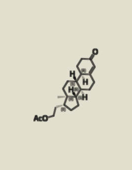 CC(=O)OCC[C@H]1CC[C@H]2[C@@H]3CCC4=CC(=O)CC[C@@H]4[C@H]3CC[C@]12C